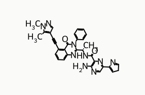 Cc1c(C#Cc2cccc3nc([C@H](C)NC(=O)c4nc(C5=CCC=N5)cnc4N)n(-c4ccccc4)c(=O)c23)cnn1C